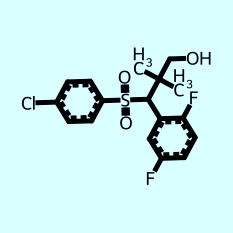 CC(C)(CO)C(c1cc(F)ccc1F)S(=O)(=O)c1ccc(Cl)cc1